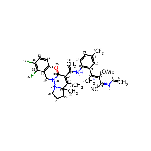 C=C/N=C(C#N)\C(OC)=C(/C)c1cc(C(F)(F)F)ccc1NC(=C)C1=C(C)C2(C)CCCN2N(Cc2cccc(F)c2F)C1=O